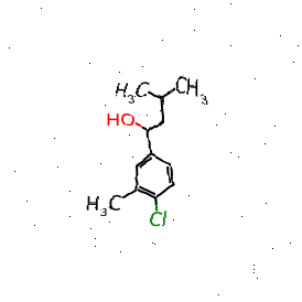 Cc1cc(C(O)CC(C)C)ccc1Cl